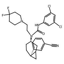 N#Cc1cccc([C@]23CC[C@@H](N(CCN4CCC(F)(F)CC4)C(=O)Nc4cc(Cl)cc(Cl)c4)CC2C3)c1